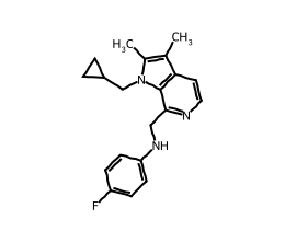 Cc1c(C)n(CC2CC2)c2c(CNc3ccc(F)cc3)nccc12